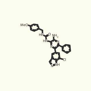 COc1ccc(CNC(=O)Nc2nc(-c3cc(Cl)c4[nH]ncc4c3)c(-c3ccccc3)nc2N)cc1